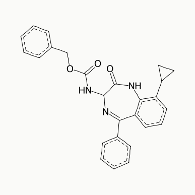 O=C(NC1N=C(c2ccccc2)c2cccc(C3CC3)c2NC1=O)OCc1ccccc1